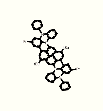 CC(C)c1cc2c3c(c1)N(c1ccccc1)c1ccccc1B3c1cc3c(C(C)(C)C)cc4c5c(cc6c(C(C)(C)C)cc-2c1c6c35)B1c2ccccc2N(c2ccccc2)c2cc(C(C)C)cc-4c21